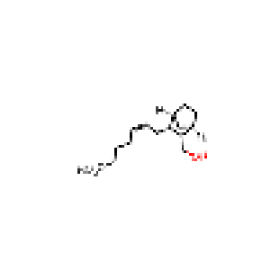 O=C(O)CCC/C=C\C[C@H]1[C@H]2CC[C@H](C2)[C@H]1CO